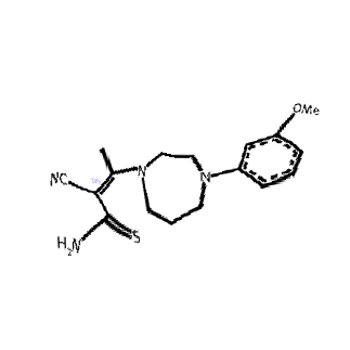 COc1cccc(N2CCCN(/C(C)=C(/C#N)C(N)=S)CC2)c1